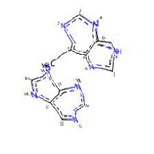 Cc1ncnc2[nH]cnc12.c1ncc2nc[nH]c2n1